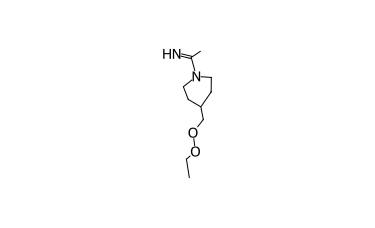 CCOOCC1CCN(C(C)=N)CC1